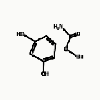 CCC(C)OC(N)=O.Oc1cccc(O)c1